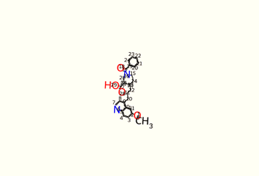 COc1ccc2nccc(CCC[C@@H]3CCN(C(=O)c4ccccc4)C[C@@H]3C(=O)O)c2c1